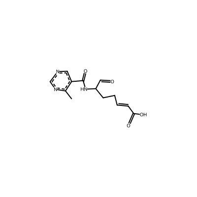 Cc1ncncc1C(=O)NC(C=O)CCC=CC(=O)O